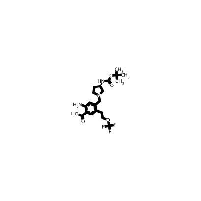 CC(C)(C)OC(=O)N[C@@H]1CCN(Cc2cc(N)c(C(=O)O)cc2CCOC(F)(F)F)C1